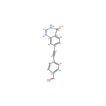 O=Cc1ccc(C#Cc2ccc3c(=O)[nH]cnc3c2)cc1